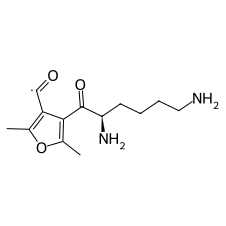 Cc1oc(C)c(C(=O)[C@H](N)CCCCN)c1[C]=O